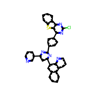 Clc1nc(-c2ccc(-c3nc(-c4cccnc4)cc(-c4cc5ccccc5c5cccnc45)n3)cc2)c2sc3ccccc3c2n1